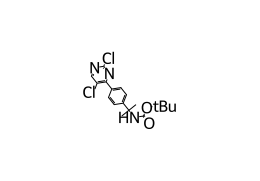 CC(C)(C)OC(=O)NC(C)(C)c1ccc(-c2nc(Cl)ncc2Cl)cc1